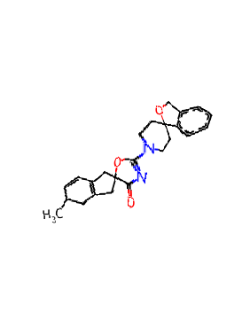 CC1C=CC2=C(C1)CC1(C2)OC(N2CCC3(CC2)OCc2ccccc23)=NC1=O